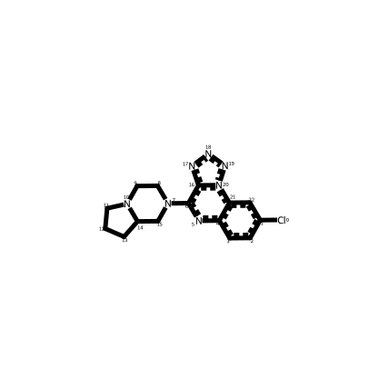 Clc1ccc2nc(N3CCN4CCCC4C3)c3nnnn3c2c1